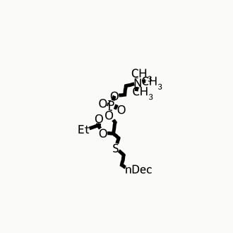 CCCCCCCCCCCCSCC(COP(=O)([O-])OCC[N+](C)(C)C)OC(=O)CC